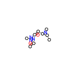 c1ccc(-c2ccc3c(c2)c2ccc(-c4cccc5c4oc4cc(-c6nc(-c7ccccc7)nc(-c7cccc8c7oc7ccccc78)n6)ccc45)cc2n3-c2ccccc2)cc1